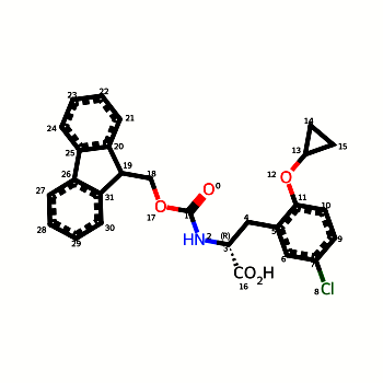 O=C(N[C@H](Cc1cc(Cl)ccc1OC1CC1)C(=O)O)OCC1c2ccccc2-c2ccccc21